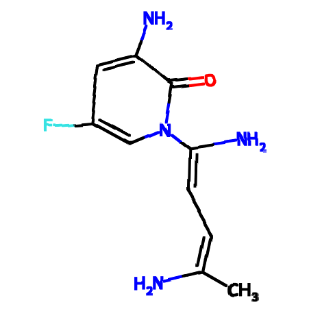 C/C(N)=C/C=C(\N)n1cc(F)cc(N)c1=O